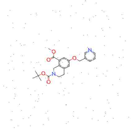 COC(=O)c1cc(OCc2cccnc2)cc2c1CN(C(=O)OC(C)(C)C)CC2